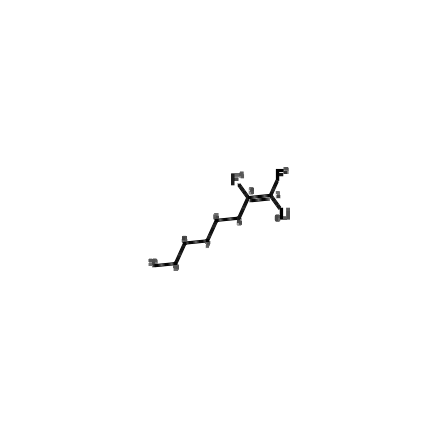 [Li]/[C](F)=C(/F)CCCCCC